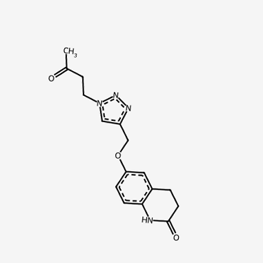 CC(=O)CCn1cc(COc2ccc3c(c2)CCC(=O)N3)nn1